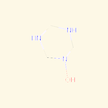 ON1CNCNC1